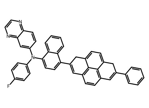 Fc1ccc(N(c2ccc3nccnc3c2)c2ccc(C3=Cc4ccc5c6c(ccc(c46)C3)CC(c3ccccc3)=C5)c3ccccc23)cc1